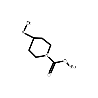 CCSC1CCN(C(=O)OC(C)(C)C)CC1